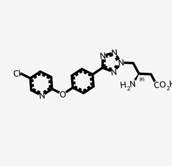 N[C@H](CC(=O)O)Cn1nnc(-c2ccc(Oc3ccc(Cl)cn3)cc2)n1